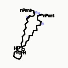 CCCCC/C=C\C/C=C\CCCCCCCCC1(CCCCCCCC/C=C\C/C=C\CCCCC)O[C@H]2CCCCC[C@H]2O1